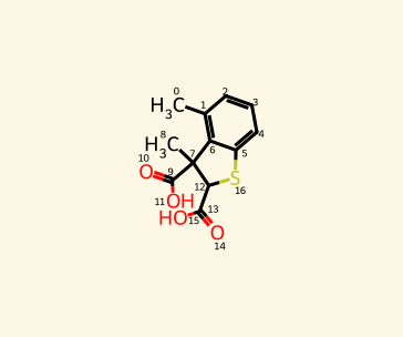 Cc1cccc2c1C(C)(C(=O)O)C(C(=O)O)S2